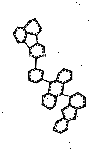 c1cc(-c2ncc3c(n2)-c2cccc4cccc-3c24)cc(-c2c3ccccc3c(-c3cccc4cc5ccccc5cc34)c3ccccc23)c1